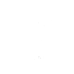 CCCCOC(=O)C(C)OC(=O)CNC(C)=O